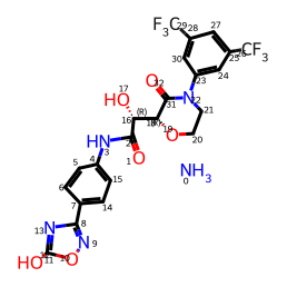 N.O=C(Nc1ccc(-c2noc(O)n2)cc1)[C@H](O)[C@H]1OCCN(c2cc(C(F)(F)F)cc(C(F)(F)F)c2)C1=O